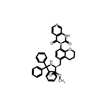 COC(=O)[C@H](Cc1ccc(-n2c(=O)[nH]c3cnccc3c2=O)c2c1CCCO2)NC(c1ccccc1)(c1ccccc1)c1ccccc1